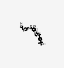 CCc1cc(Nc2nccn3c(-c4ccc(-c5c[nH]nc5C)cc4)cnc23)ccc1C(=O)NCC1CC[N+](C)(CC2CNC2)CC1